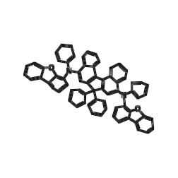 c1ccc(N(c2cc3c(c4ccccc24)-c2c(cc(N(c4ccccc4)c4cccc5c4oc4ccccc45)c4ccccc24)C3(c2ccccc2)c2ccccc2)c2cccc3c2oc2ccccc23)cc1